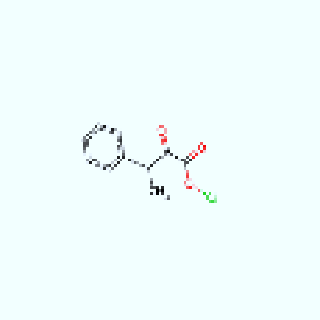 CC(C(=O)C(=O)OCl)c1ccccc1